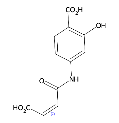 O=C(O)/C=C\C(=O)Nc1ccc(C(=O)O)c(O)c1